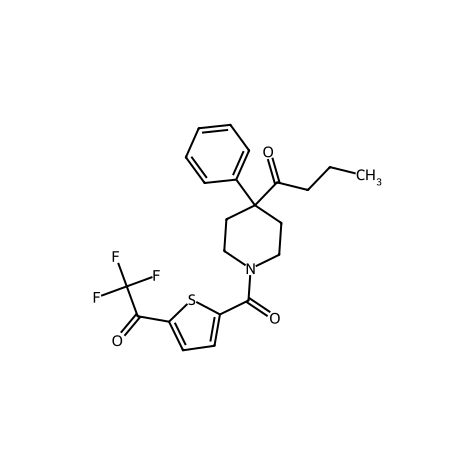 CCCC(=O)C1(c2ccccc2)CCN(C(=O)c2ccc(C(=O)C(F)(F)F)s2)CC1